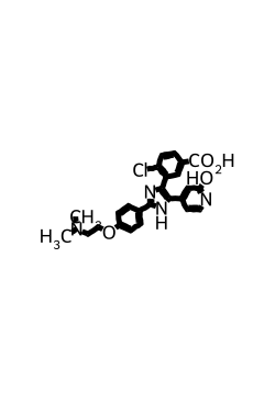 CN(C)CCOc1ccc(-c2nc(-c3cc(C(=O)O)ccc3Cl)c(-c3ccnc(O)c3)[nH]2)cc1